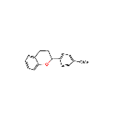 COc1ccc(C2CCc3ccccc3O2)cc1